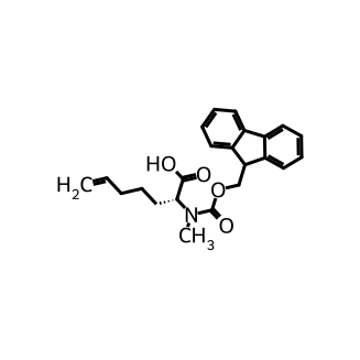 C=CCCC[C@H](C(=O)O)N(C)C(=O)OCC1c2ccccc2-c2ccccc21